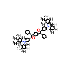 [2H]c1c([2H])c([2H])c(N(c2ccc(-c3oc4cc5c(-c6ccccc6)c(-c6ccc(N(c7c([2H])c([2H])c([2H])c([2H])c7[2H])c7c([2H])c([2H])c([2H])c([2H])c7[2H])cc6)oc5cc4c3-c3ccccc3)cc2)c2c([2H])c([2H])c([2H])c([2H])c2[2H])c([2H])c1[2H]